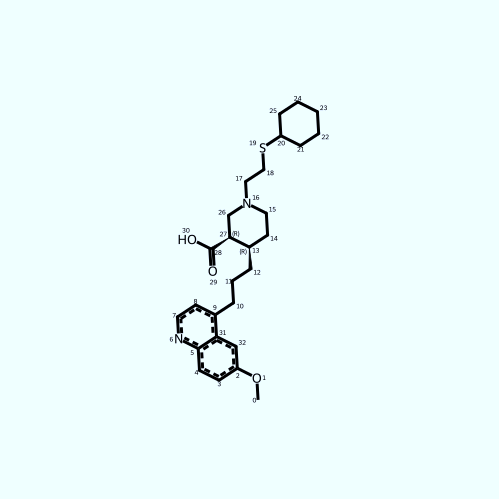 COc1ccc2nccc(CCC[C@@H]3CCN(CCSC4CCCCC4)C[C@@H]3C(=O)O)c2c1